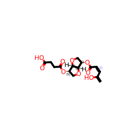 C=C(O)/C=C\C(=O)O[C@H]1CO[C@H]2[C@@H]1OC[C@@H]2OC(=O)CCC(=O)O